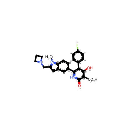 Cn1c(CN2CCC2)cc2cc(-c3[nH]c(=O)c(C(=O)O)c(O)c3-c3ccc(F)cc3)ccc21